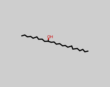 CCCCCCCCCCCCCCC(O)CCCCCCCCC